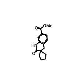 COC(=O)c1ccc2c(c1)NC(=O)C1(CCCC1)C2